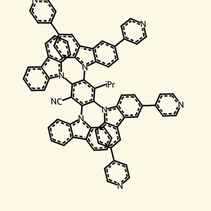 CC(C)c1c(-n2c3ccc(-c4ccncc4)cc3c3cc(-c4ccncc4)ccc32)c(-n2c3ccccc3c3ccccc32)c(C#N)c(-n2c3ccccc3c3ccccc32)c1-n1c2ccc(-c3ccncc3)cc2c2cc(-c3ccncc3)ccc21